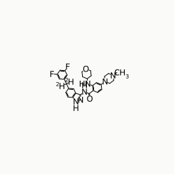 [2H]C([2H])(c1cc(F)cc(F)c1)c1ccc2[nH]nc(NC(=O)c3ccc(N4CCN(C)CC4)cc3NC3CCOCC3)c2c1